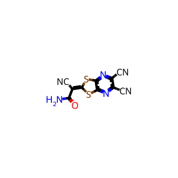 N#CC(C(N)=O)=C1Sc2nc(C#N)c(C#N)nc2S1